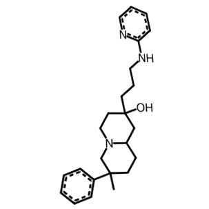 CC1(c2ccccc2)CCC2CC(O)(CCCNc3ccccn3)CCN2C1